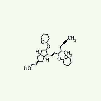 CC#CC[C@H](C)[C@@H](/C=C/[C@@H]1[C@H]2CC(=CCO)C[C@H]2C[C@H]1OC1CCCCO1)OC1CCCCO1